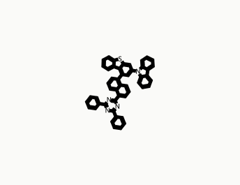 c1ccc(-c2nc(-c3ccccc3)nc(-c3cccc4c(-c5cc(-n6c7ccccc7c7ccccc76)cc6sc7ccccc7c56)cccc34)n2)cc1